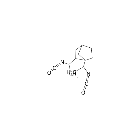 CC(N=C=O)C1CC2CCC1(C(C)N=C=O)C2